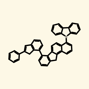 C1=C(c2ccccc2)Cc2c1cccc2-c1cccc2c1-c1ccc3c(-n4c5ccccc5c5ccccc54)cccc3c1C2